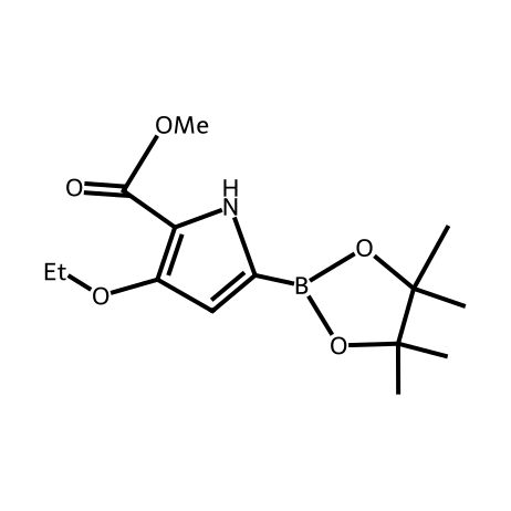 CCOc1cc(B2OC(C)(C)C(C)(C)O2)[nH]c1C(=O)OC